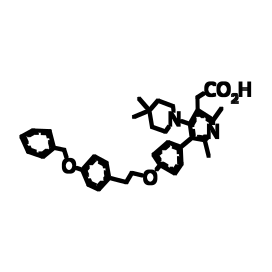 Cc1nc(C)c(-c2ccc(OCCc3ccc(OCc4ccccc4)cc3)cc2)c(N2CCC(C)(C)CC2)c1CC(=O)O